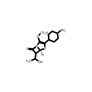 CC(O)C1C(=O)N2C(OC(=O)O)=C(C3CCC(N)CC3)S[C@@H]12